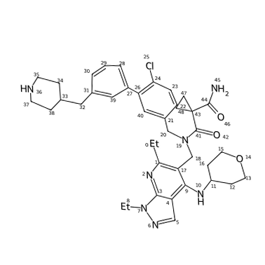 CCc1nc2c(cnn2CC)c(NC2CCOCC2)c1CN(Cc1ccc(Cl)c(-c2cccc(CC3CCNCC3)c2)c1)C(=O)C1(C(N)=O)CC1